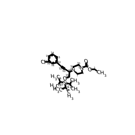 CCOC(=O)N1CCN(C(C#Cc2cccc(Cl)c2)CO[Si](C(C)C)(C(C)C)C(C)C)CC1